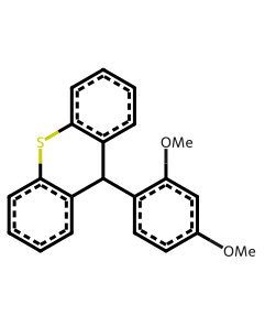 COc1ccc(C2c3ccccc3Sc3ccccc32)c(OC)c1